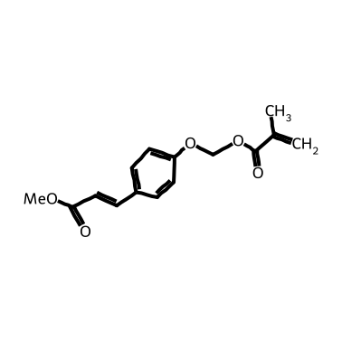 C=C(C)C(=O)OCOc1ccc(C=CC(=O)OC)cc1